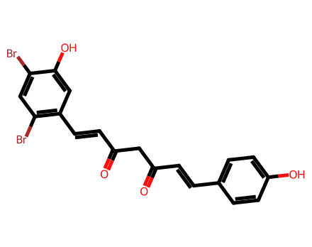 O=C(C=Cc1ccc(O)cc1)CC(=O)C=Cc1cc(O)c(Br)cc1Br